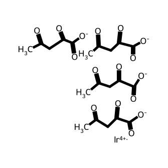 CC(=O)CC(=O)C(=O)[O-].CC(=O)CC(=O)C(=O)[O-].CC(=O)CC(=O)C(=O)[O-].CC(=O)CC(=O)C(=O)[O-].[Ir+4]